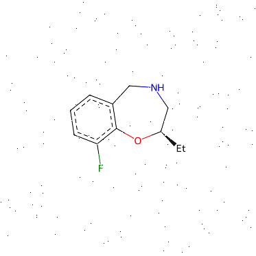 CC[C@@H]1CNCc2cccc(F)c2O1